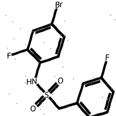 O=S(=O)(Cc1cccc(F)c1)Nc1ccc(Br)cc1F